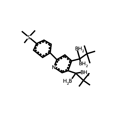 BC(B)(c1cnc(-c2ccc(S(C)(C)C)cc2)cc1C(B)(B)C(C)(C)C)C(C)(C)C